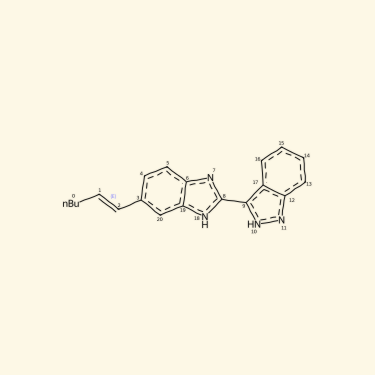 CCCC/C=C/c1ccc2nc(-c3[nH]nc4ccccc34)[nH]c2c1